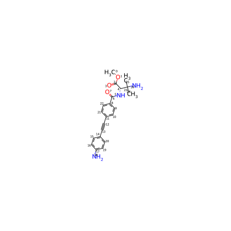 COC(=O)[C@@H](NC(=O)c1ccc(C#Cc2ccc(N)cc2)cc1)C(C)(C)N